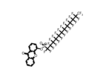 O=c1c2ccccc2oc2c(OS(=O)(=O)C(F)(F)C(F)(F)C(F)(F)C(F)(F)C(F)(F)C(F)(F)C(F)(F)C(F)(F)C(F)(F)C(F)(F)C(F)(F)C(F)(F)F)cccc12